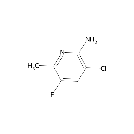 Cc1nc(N)c(Cl)cc1F